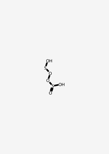 O=S(O)OOSO